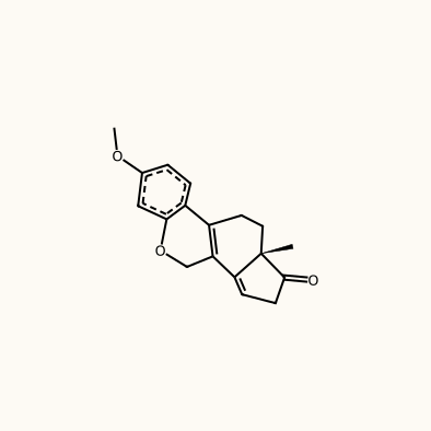 COc1ccc2c(c1)OCC1=C2CC[C@]2(C)C(=O)CC=C12